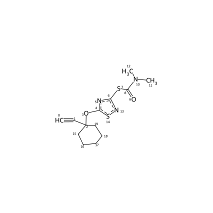 C#CC1(Oc2nc(SC(=O)N(C)C)ns2)CCCCC1